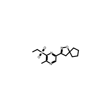 CCS(=O)(=O)c1nc(C2=NOC3(CCCC3)C2)cnc1C